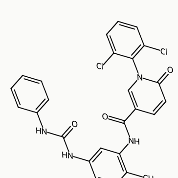 Cc1ccc(NC(=O)Nc2ccccc2)cc1NC(=O)c1ccc(=O)n(-c2c(Cl)cccc2Cl)c1